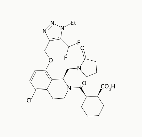 CCn1nnc(COc2ccc(Cl)c3c2[C@@H](CN2CCCC2=O)N(C(=O)[C@@H]2CCCC[C@@H]2C(=O)O)CC3)c1C(F)F